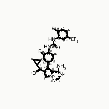 Nc1ncnn2cc(C(=O)C3CC3)c(-c3ccc(NC(=O)Nc4cc(C(F)(F)F)ccc4F)c(F)c3)c12